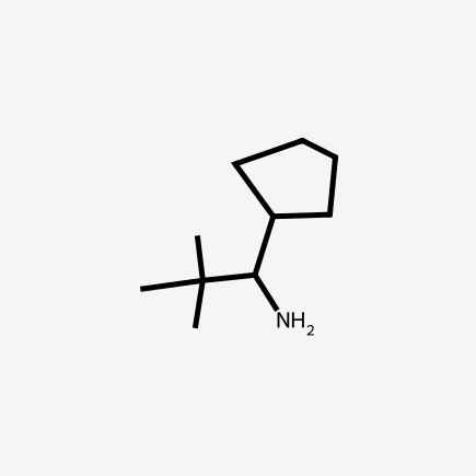 CC(C)(C)C(N)C1CCCC1